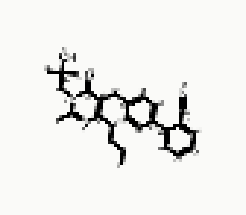 CCCCc1nc(C)n(CC(C)(C)O)c(=O)c1Cc1ccc(-c2ccccc2C#N)cc1